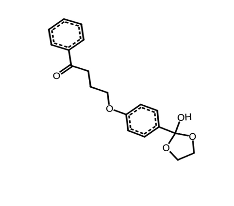 O=C(CCCOc1ccc(C2(O)OCCO2)cc1)c1ccccc1